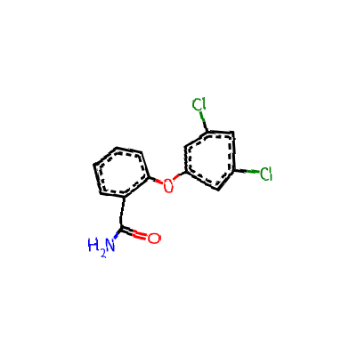 NC(=O)c1ccccc1Oc1cc(Cl)cc(Cl)c1